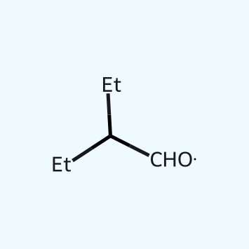 [CH2]CC([C]=O)CC